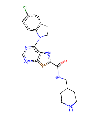 O=C(NCC1CCNCC1)c1nc2c(N3CCc4cc(Cl)ccc43)ncnc2s1